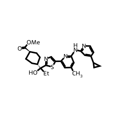 CCC(O)(c1ncc(-c2cc(C)cc(Nc3cc(C4CC4)ccn3)n2)s1)[C@H]1CC[C@H](C(=O)OC)CC1